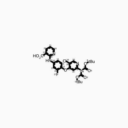 CC(C)(C)OC(=O)N(C(=O)OC(C)(C)C)c1cc(Oc2ccc(Nc3ncccc3C(=O)O)cc2F)c(Cl)cn1